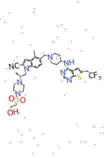 Cc1c(CN2CCC(Nc3ncnc4sc(CC(F)(F)F)cc34)CC2)ccc2c1cc(C#N)n2C[C@H](C)N1CCN(S(=O)(=O)CCO)CC1